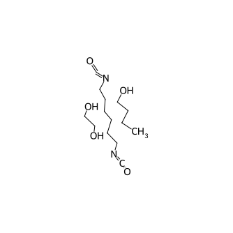 CCCCO.O=C=NCCCCCCN=C=O.OCCO